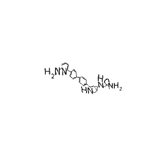 NC(=O)CNC1C2CNC(c3ccc(-c4ccc(-c5cccc(N)n5)cc4)cc3)C21